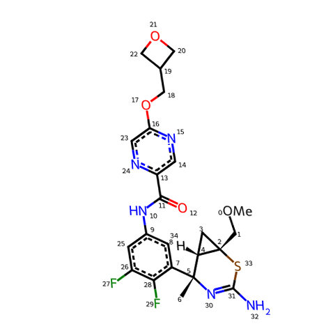 COC[C@]12C[C@H]1[C@@](C)(c1cc(NC(=O)c3cnc(OCC4COC4)cn3)cc(F)c1F)N=C(N)S2